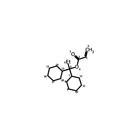 C=CC(=O)OC(CC)(C1CCCCC1)C1CCCCC1